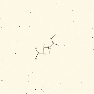 CCC(C)N1CC(C)(C(C)C)C1